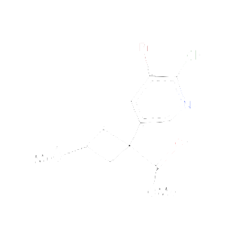 COC(=O)C1(c2cnc(Cl)c(Br)c2)CC(OC)C1